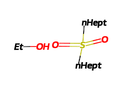 CCCCCCCS(=O)(=O)CCCCCCC.CCO